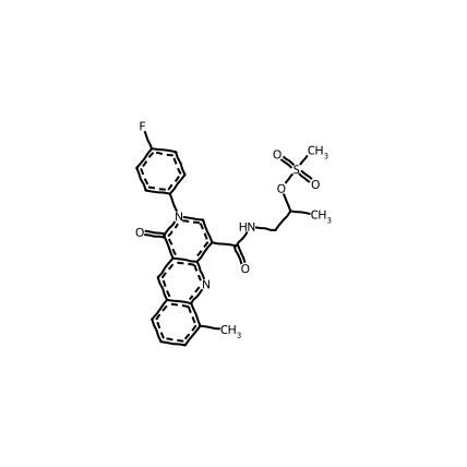 Cc1cccc2cc3c(=O)n(-c4ccc(F)cc4)cc(C(=O)NCC(C)OS(C)(=O)=O)c3nc12